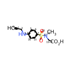 C#CCNc1ccc(S(=O)(=O)N(C)CC(=O)O)cc1